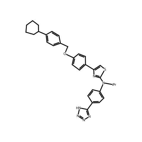 CC(C)N(c1ccc(-c2nnn[nH]2)cc1)c1nc(-c2ccc(OCc3ccc(C4CCCCC4)cc3)cc2)cs1